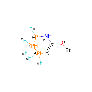 CCOC1=C[PH](F)(F)[PH](F)(F)P(F)N1